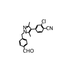 Cc1nn(Cc2ccc(C=O)cc2)c(C)c1-c1ccc(C#N)c(Cl)c1